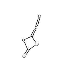 O=C=C1OC(=O)O1